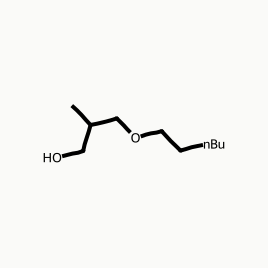 CCCCCCOCC(C)CO